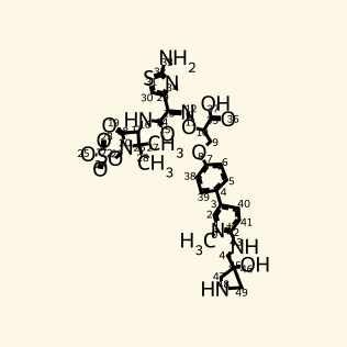 C[n+]1cc(-c2ccc(OCC(O/N=C(\C(=O)N[C@@H]3C(=O)N(OS(=O)(=O)[O-])C3(C)C)c3csc(N)n3)C(=O)O)cc2)ccc1NCC1(O)CNC1